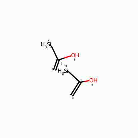 C=C(O)[SiH3].C=C(O)[SiH3]